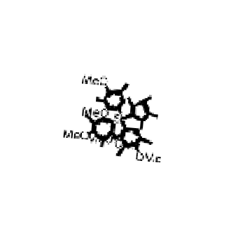 COc1c(C)cc([Si](C2=C(C)C(C)=C(C)C2C)(c2cc(C)c(OC)c(C)c2OC)c2cc(C)c(OC)c(C)c2OC)c(OC)c1C